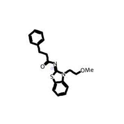 COCCn1/c(=N/C(=O)CCc2ccccc2)sc2ccccc21